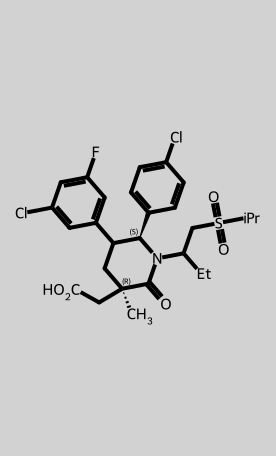 CCC(CS(=O)(=O)C(C)C)N1C(=O)[C@@](C)(CC(=O)O)CC(c2cc(F)cc(Cl)c2)[C@H]1c1ccc(Cl)cc1